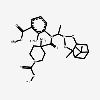 COc1c(C(=O)OC(C)(C)C)cccc1N(C(=O)C1(N)CCN(C(=O)OC(C)(C)C)CC1)C(C)B1OC2CC3CC(C3(C)C)C2(C)O1